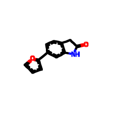 O=C1Cc2ccc(-c3ccco3)cc2N1